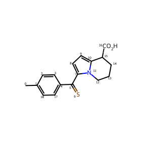 Cc1ccc(C(=S)c2ccc3n2CCCC3C(=O)O)cc1